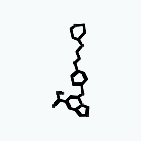 COC(=O)c1cc(Oc2ccc(OCCOC3CCOCC3)cc2)n2cncc2c1